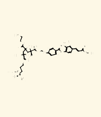 CCC(C)(CC(C)(CC(C)(C)C(=O)OCCC[Si](O)(OC)OC)C(=O)OCCO)C(=O)OCOc1ccc(C(=O)Oc2ccc(/C=C/C(=O)OC)cc2OC)cc1